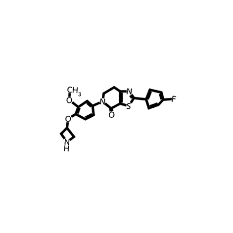 COc1cc(N2CCc3nc(-c4ccc(F)cc4)sc3C2=O)ccc1OC1CNC1